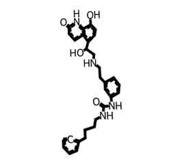 O=C(NCCCCc1ccccc1)Nc1cccc(CCNCC(O)c2ccc(O)c3[nH]c(=O)ccc23)c1